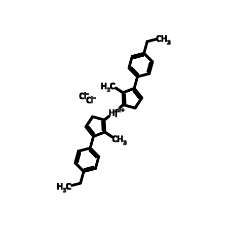 CCc1ccc(C2=CC[C]([Hf+2][C]3=C(C)C(c4ccc(CC)cc4)=CC3)=C2C)cc1.[Cl-].[Cl-]